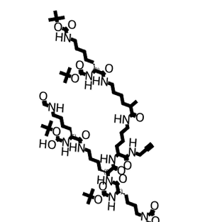 C#CCNC(=O)C(CCCCNC(=O)C(C)CCCCNC(=O)[C@@H](CCCCCNC(=O)OC(C)(C)C)NC(=O)OC(C)(C)C)NC(=O)[C@H](CCCCNC(=O)[C@H](CCCCNC=O)NC(O)OC(C)(C)C)NC(=O)[C@H](CCCCN1C(=O)OC1(C)C)NC(=O)OC(C)(C)C